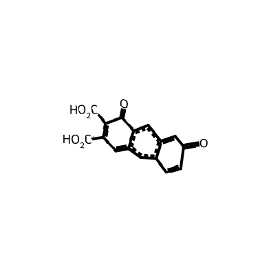 O=C1C=Cc2cc3c(cc2=C1)C(=O)C(C(=O)O)=C(C(=O)O)C=3